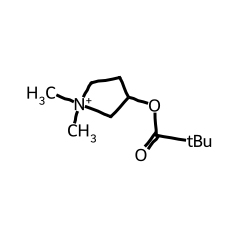 CC(C)(C)C(=O)OC1CC[N+](C)(C)C1